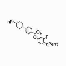 CCCCCc1ccc(OC(=O)c2ccc([C@H]3CC[C@H](CCC)CC3)cc2)c(F)c1F